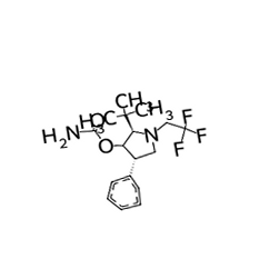 CC(C)(C)[C@@H]1C(OC(N)=O)[C@@H](c2ccccc2)CN1CC(F)(F)F